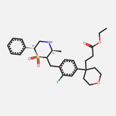 CCOC(=O)CCC1(c2ccc(CC3[C@H](C)NC[C@@H](c4ccccc4)S3(=O)=O)c(F)c2)CCOCC1